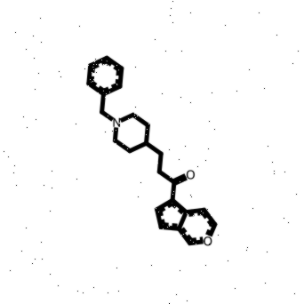 O=C(CCC1CCN(Cc2ccccc2)CC1)c1ccc2coccc1-2